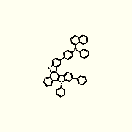 c1ccc(-c2ccc3c4c5c6cc(-c7ccc(N(c8ccccc8)c8cccc9ccccc89)cc7)ccc6sc5c5ccccc5c4n(-c4ccccc4)c3c2)cc1